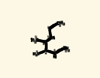 BBB(B)B(B)BCC